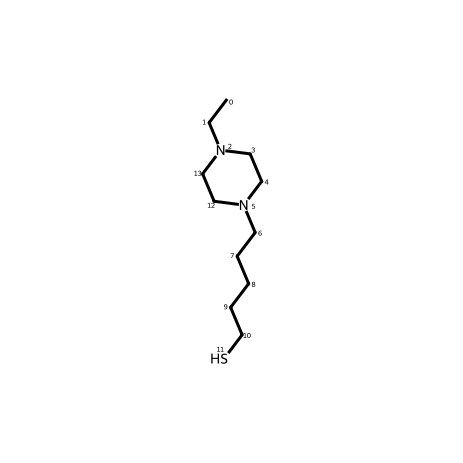 CCN1CCN(CCCCCS)CC1